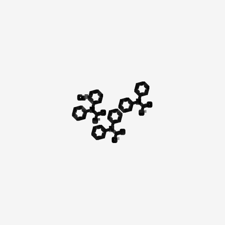 O=C([O-])N(c1ccccc1)c1ccccc1.O=C([O-])N(c1ccccc1)c1ccccc1.O=C([O-])N(c1ccccc1)c1ccccc1.[Co+3]